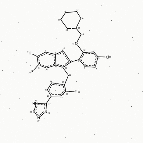 Fc1cc2nc(-c3ccc(Cl)cc3OCC3CCCCC3)n(Cc3ccc(-c4nnn[nH]4)cc3F)c2cc1F